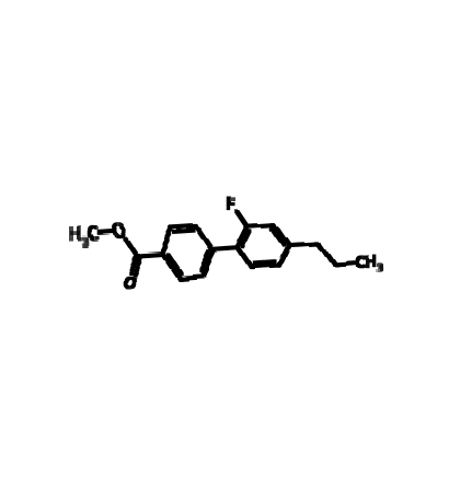 CCCc1ccc(-c2ccc(C(=O)OC)cc2)c(F)c1